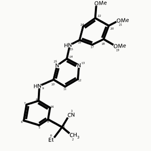 CCC(C)(C#N)c1cccc(Nc2ccnc(Nc3cc(OC)c(OC)c(OC)c3)n2)c1